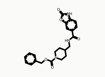 O=C(NCC1CCN(C(=O)OCc2ccccc2)CC1)c1ccc2[nH]c(=O)oc2c1